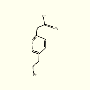 C=C(CC)Cc1ccc(CCC(C)C)cc1